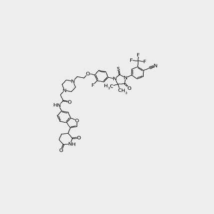 CC1(C)C(=O)N(c2ccc(C#N)c(C(F)(F)F)c2)C(=S)N1c1ccc(OCCN2CCN(CC(=O)Nc3ccc4c(C5CCC(=O)NC5=O)coc4c3)CC2)c(F)c1